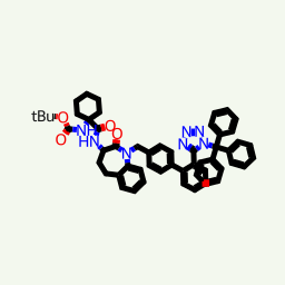 CC(C)(C)OC(=O)NC1(C(=O)NC2CCc3ccccc3N(Cc3ccc(-c4ccccc4-c4nnnn4C(c4ccccc4)(c4ccccc4)c4ccccc4)cc3)C2=O)CCCCC1